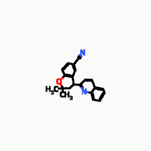 CC1(C)CC(c2ccc3ccccc3n2)c2cc(C#N)ccc2O1